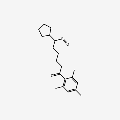 Cc1cc(C)c(C(=O)CCCCC(P=O)C2CCCC2)c(C)c1